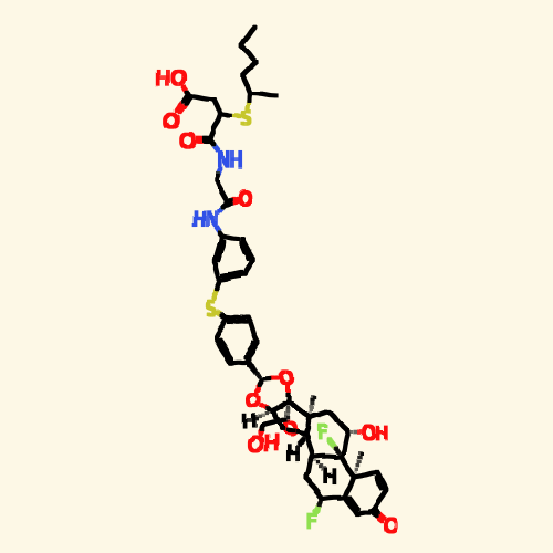 CCCCC(C)SC(CC(=O)O)C(=O)NCC(=O)Nc1cccc(Sc2ccc([C@@H]3O[C@@H]4C[C@H]5[C@@H]6C[C@H](F)C7=CC(=O)C=C[C@]7(C)[C@@]6(F)[C@@H](O)C[C@]5(C)[C@]4(C(=O)CO)O3)cc2)c1